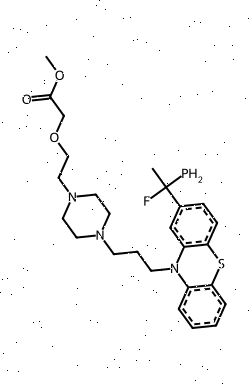 COC(=O)COCCN1CCN(CCCN2c3ccccc3Sc3ccc(C(C)(F)P)cc32)CC1